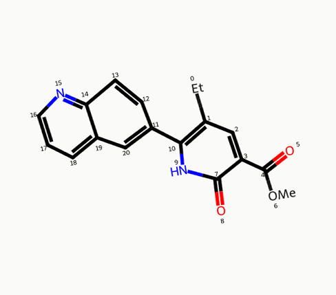 CCc1cc(C(=O)OC)c(=O)[nH]c1-c1ccc2ncccc2c1